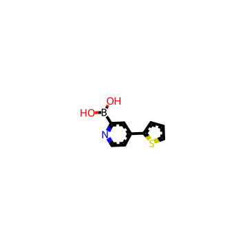 OB(O)c1cc(-c2cccs2)ccn1